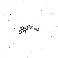 C/C=C1/C(=S)N(Cc2ccc(C(=O)NCCN3CCCCC3)cc2)c2ccncc2C1Cc1ccccc1